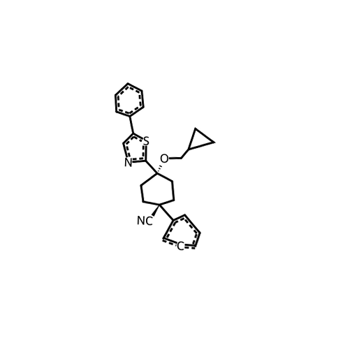 N#C[C@]1(c2ccccc2)CC[C@](OCC2CC2)(c2ncc(-c3ccccc3)s2)CC1